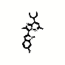 CCC(CC)c1cc(C)nn2c(-c3cc4ccc(F)cc4n3C)c(C)nc12